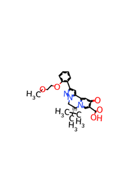 COCCOc1ccccc1-c1cc2n(n1)C[C@@H](C(C)(C)C)n1cc(C(=O)O)c(=O)cc1-2